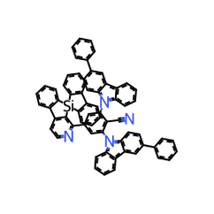 N#Cc1c(-n2c3ccccc3c3cc(-c4ccccc4)ccc32)cc(-c2nccc3c2[Si]2(c4ccccc4-c4ccccc42)c2ccccc2-3)cc1-n1c2ccccc2c2cc(-c3ccccc3)ccc21